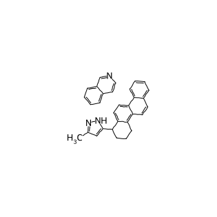 Cc1cc(C2CCCc3c2ccc2c3ccc3ccccc32)[nH]n1.c1ccc2cnccc2c1